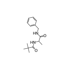 CC(NC(=O)C(C)(C)C)C(=O)NCc1ccccc1